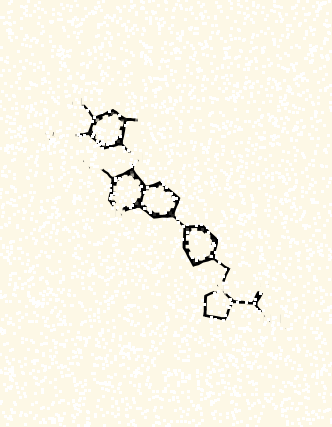 COc1cc(Nc2c(C#N)cnc3cc(-c4ccc(CN5CCCC5C(N)=O)cc4)ccc23)c(Cl)cc1Cl